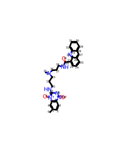 Cc1ccc2c(c1)[n+]([O-])c(NCCCN(C)CCCNC(=O)c1cccc3cc4ccccc4nc13)n[n+]2[O-]